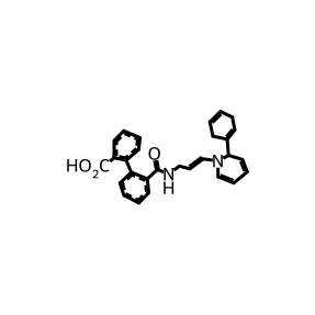 O=C(O)c1ccccc1-c1ccccc1C(=O)NCC=CN1C=CC=CC1C1=CCC=CC1